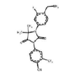 CC1(C)C(=O)N(c2ccc(C#N)c(C(F)(F)F)c2)C(=O)N1c1ccc(CN)c(F)c1